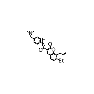 C=CCc1c(CC)ccc2cc(C(=O)Nc3ccc(CN(C)C)cc3)c(=O)oc12